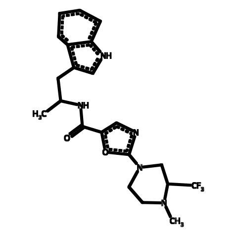 CC(Cc1c[nH]c2ccccc12)NC(=O)c1cnc(N2CCN(C)C(C(F)(F)F)C2)o1